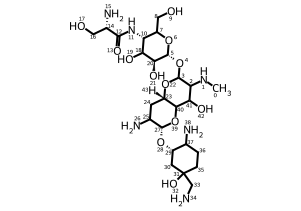 CNC1C(O[C@H]2OC(CO)[C@@H](NC(=O)[C@@H](N)CO)C(O)[C@@H]2O)O[C@H]2CC(N)[C@@H](O[C@H]3CC(O)(CN)CCC3N)OC2C1O